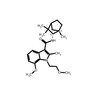 COCCn1c(C)c(C(=O)N[C@@H]2C(C)(C)C3CC[C@@]2(C)C3)c2cccc(OC)c21